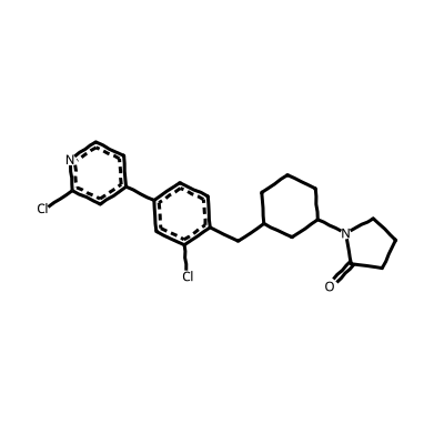 O=C1CCCN1C1CCCC(Cc2ccc(-c3ccnc(Cl)c3)cc2Cl)C1